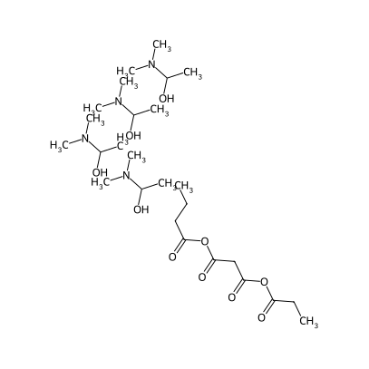 CC(O)N(C)C.CC(O)N(C)C.CC(O)N(C)C.CC(O)N(C)C.CCCC(=O)OC(=O)CC(=O)OC(=O)CC